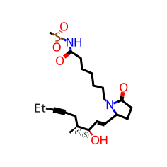 CCC#CC[C@H](C)[C@H](O)C=CC1CCC(=O)N1CCCCCCC(=O)NS(C)(=O)=O